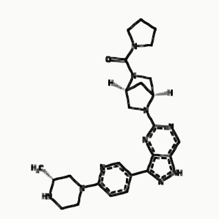 C[C@@H]1CN(c2ccc(-c3n[nH]c4cnc(N5C[C@@H]6C[C@H]5CN6C(=O)N5CCCC5)nc34)cn2)CCN1